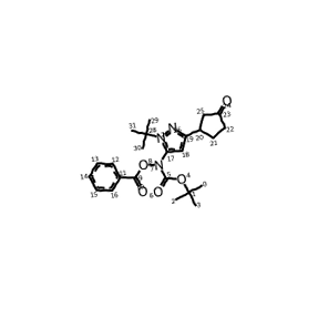 CC(C)(C)OC(=O)N(OC(=O)c1ccccc1)c1cc(C2CCC(=O)C2)nn1C(C)(C)C